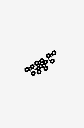 c1ccc(N(c2ccc3c4c(c5ccccc5c3c2)-c2c(cc(N(c3ccccc3)c3cccc5c3sc3ccccc35)c3ccccc23)C4(c2ccccc2)c2ccccc2)c2cccc3c2sc2ccccc23)cc1